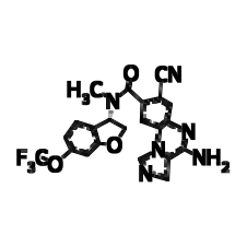 CN(C(=O)c1cc2c(cc1C#N)nc(N)c1cncn12)[C@@H]1COc2cc(OC(F)(F)F)ccc21